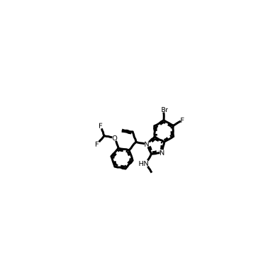 C=CC(c1ccccc1OC(F)F)n1c(NC)nc2cc(F)c(Br)cc21